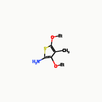 CCOc1sc(N)c(OCC)c1C